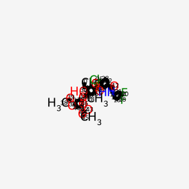 CCC1C[C@@H](S(=O)(=O)c2cc(C(=O)Nc3ccc(F)c(F)c3)ccc2Cl)C[C@H](C)[C@@]1(O)CO[C@H]1C[C@@H](OC(C)=O)C[C@@H](C(=O)OC)O1